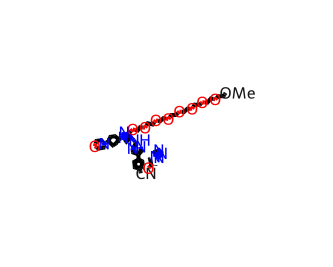 COCCOCCOCCOCCOCCOCCOCCOCCOc1nn(C2CCC(N3CCOCC3)CC2)cc1Nc1ncc(-c2ccc(C#N)c(O[C@@H](C)Cn3cnnn3)c2)cn1